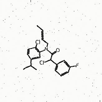 CC=CCN(C(=O)C(Cl)c1cccc(F)c1)c1cc(C(C)C)ccc1Cl